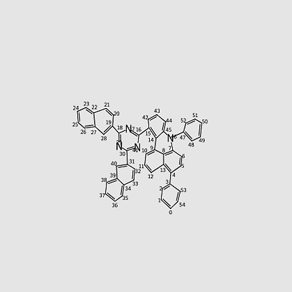 c1ccc(-c2ccc3c4c(cccc24)-c2c(-c4nc(-c5ccc6ccccc6c5)nc(-c5ccc6ccccc6c5)n4)cccc2N3c2ccccc2)cc1